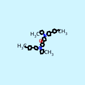 CCc1ccc(-c2ccc(N(c3cccc(C)c3)c3ccc4c(c3)oc3cc(N(c5ccc(-c6ccc(CC)cc6)cc5)c5cccc(C)c5)ccc34)cc2)cc1